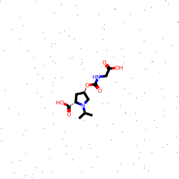 CC(C)N1C[C@@H](OC(=O)NCC(=O)O)C[C@H]1C(=O)O